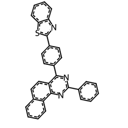 c1ccc(-c2nc(-c3ccc(-c4nc5ccccc5s4)cc3)c3ccc4ccccc4c3n2)cc1